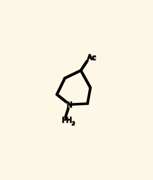 CC(=O)C1CCN(P)CC1